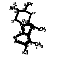 Cc1c(Cl)cnc2c1c(C)c1n2CC(C#N)C(C(C)C)C1